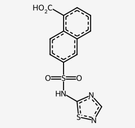 O=C(O)c1cccc2cc(S(=O)(=O)Nc3ncns3)ccc12